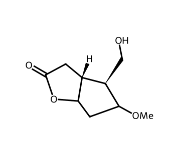 COC1CC2OC(=O)C[C@@H]2[C@H]1CO